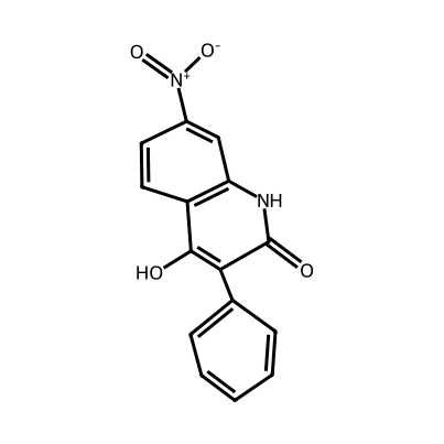 O=c1[nH]c2cc([N+](=O)[O-])ccc2c(O)c1-c1ccccc1